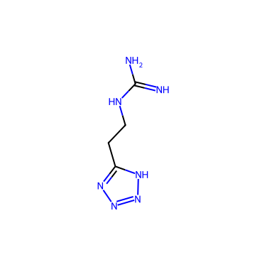 N=C(N)NCCc1nnn[nH]1